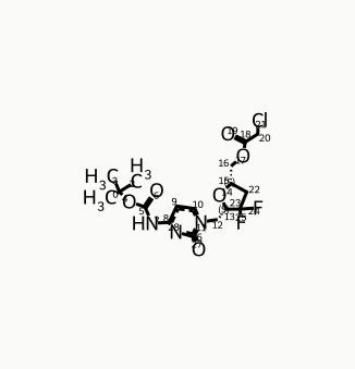 CC(C)(C)OC(=O)Nc1ccn(C[C@@H]2O[C@H](COC(=O)CCl)CC2(F)F)c(=O)n1